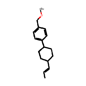 C/C=C/C1CCC(c2ccc(COCCCC)cc2)CC1